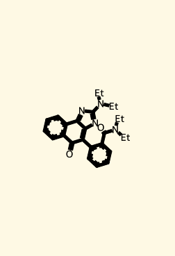 CCN(CC)C(=O)c1ccccc1C1=C2N=C(N(CC)CC)N=C2c2ccccc2C1=O